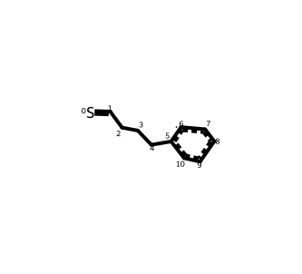 S=CCCCc1[c]cccc1